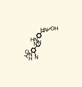 CC(C)C(=O)Nc1ccc(-c2ccnc(Nc3ccc(CCNCCO)cc3)n2)cc1C#N